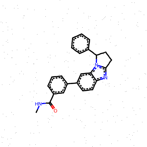 CNC(=O)c1cccc(-c2ccc3nc4n(c3c2)C(c2ccccc2)CC4)c1